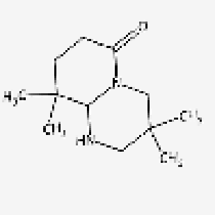 CC1(C)CNC2N(C1)C(=O)CCC2(C)C